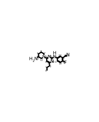 CCCc1cc(N2CCC[C@@H](N)C2)nc(Nc2ccc(F)c(C#N)c2)n1